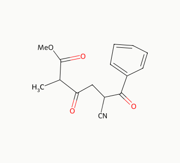 COC(=O)C(C)C(=O)CC(C#N)C(=O)c1ccccc1